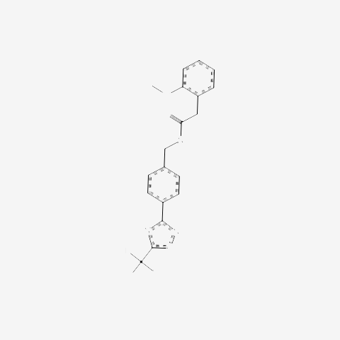 COc1ccccc1CC(=O)NCc1ccc(-c2noc(C(F)(F)F)n2)cc1